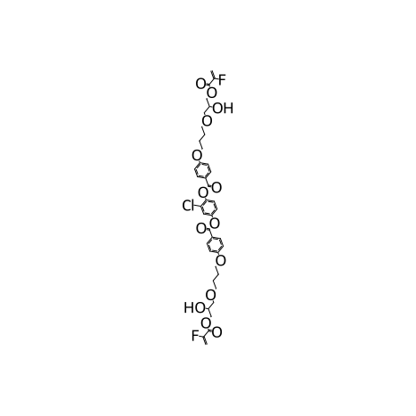 C=C(F)C(=O)OCC(O)COCCCCOc1ccc(C(=O)Oc2ccc(OC(=O)c3ccc(OCCCCOCC(O)COC(=O)C(=C)F)cc3)c(Cl)c2)cc1